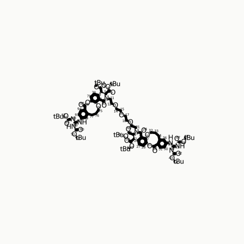 CC(C)(C)OC(=O)C[C@@H](C(=O)OC(C)(C)C)N(CCOCCOCCOCCN(C(=O)c1cccc2c1OCCCc1cc(NC(=NC(=O)OC(C)(C)C)NC(=O)OC(C)(C)C)ccc1C(=O)O2)[C@@H](CC(=O)OC(C)(C)C)C(=O)OC(C)(C)C)C(=O)c1cccc2c1OCCCc1cc(NC(=NC(=O)OC(C)(C)C)NC(=O)OC(C)(C)C)ccc1C(=O)O2